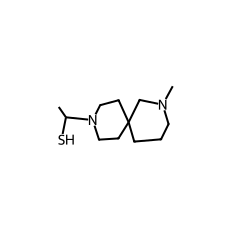 CC(S)N1CCC2(CCCN(C)C2)CC1